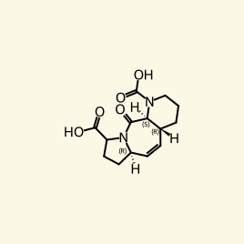 O=C(O)C1CC[C@@H]2C=C[C@H]3CCCN(C(=O)O)[C@@H]3C(=O)N12